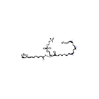 CCCCC/C=C\C/C=C\C/C=C\CCCCCCC(=O)O[C@H](COC(=O)CCCCCCC/C=C\CCCCCCCCC)COP(=O)([O-])OCC[N+](C)(C)C